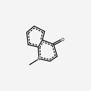 Cn1[c]cc(=O)c2ccccc21